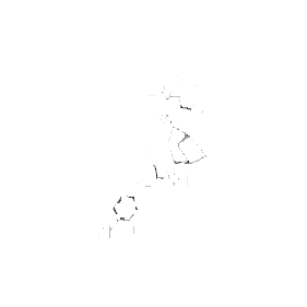 CC1SCNC1C(=O)NC1CC(NC(=O)COc2ccc(Cl)c(F)c2)C2CC1C2